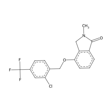 CN1Cc2c(OCc3ccc(C(F)(F)F)cc3Cl)cccc2C1=O